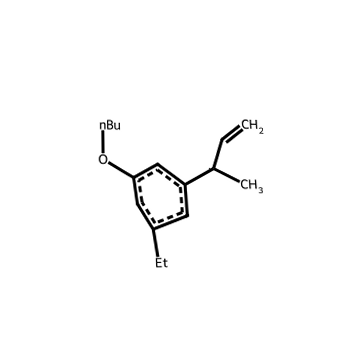 C=C[C](C)c1cc(CC)cc(OCCCC)c1